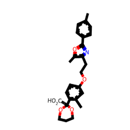 Cc1ccc(-c2nc(CCOc3ccc(C4(C(=O)O)OCCCO4)c(C)c3)c(C)o2)cc1